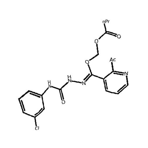 CCCC(=O)OCOC(=NNC(=O)Nc1cccc(Cl)c1)c1cccnc1C(C)=O